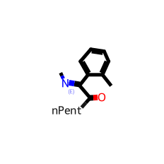 CCCCCC(=O)/C(=N/C)c1ccccc1C